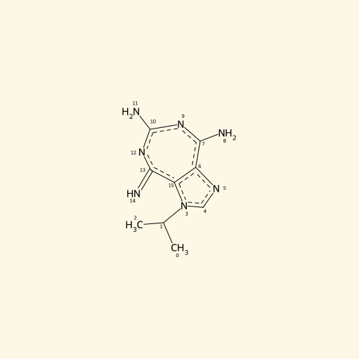 CC(C)n1cnc2c(N)nc(N)nc(=N)c21